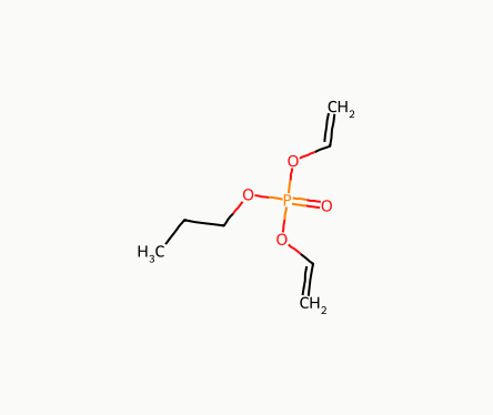 C=COP(=O)(OC=C)OCCC